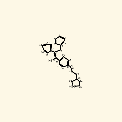 CCC(=C(Cc1ccccc1)c1ccccc1)c1ccc(OCCC2CCNC2)cc1